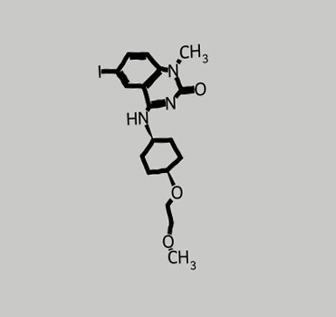 COCCO[C@H]1CC[C@@H](Nc2nc(=O)n(C)c3ccc(I)cc23)CC1